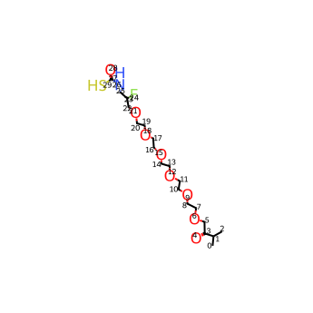 CC(C)C(=O)COCCOCCOCCOCCOCCOCC(F)CNC(=O)S